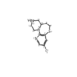 Clc1cnc2c(c1)SCCC1CNCCN21